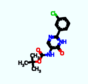 CC(C)(C)OC(=O)Nc1cnc(-c2cccc(Cl)c2)[nH]c1=O